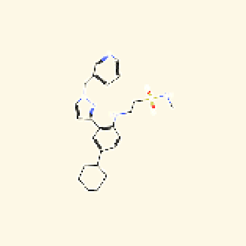 CNS(=O)(=O)CCNc1ccc(C2CCCCC2)cc1-c1ccn(Cc2cccnc2)n1